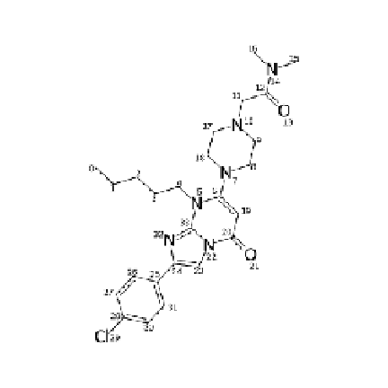 CCCCCn1c(N2CCN(CC(=O)N(C)C)CC2)cc(=O)n2cc(-c3ccc(Cl)cc3)nc12